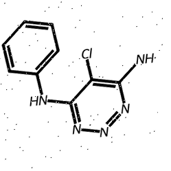 [NH]c1nnnc(Nc2ccccc2)c1Cl